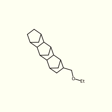 CCOCC1CC2CC1C1C3CC(C4C5CCC(C5)C34)C21